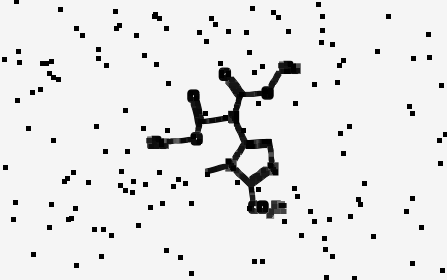 CCOC(=O)c1ncc(N(C(=O)OC(C)(C)C)C(=O)OC(C)(C)C)n1C